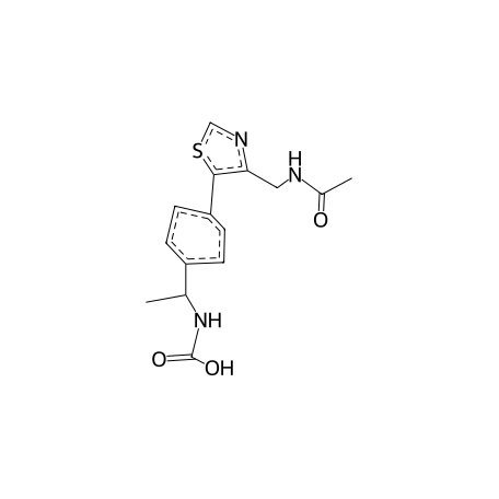 CC(=O)NCc1ncsc1-c1ccc(C(C)NC(=O)O)cc1